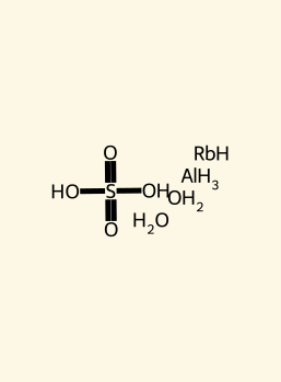 O.O.O=S(=O)(O)O.[AlH3].[RbH]